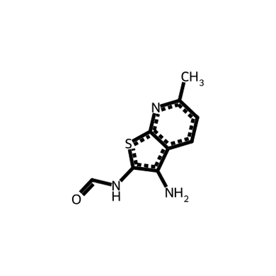 Cc1ccc2c(N)c(NC=O)sc2n1